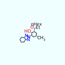 CCCCCCOC(CC)c1cc(C)cc(-n2nc3ccccc3n2)c1O